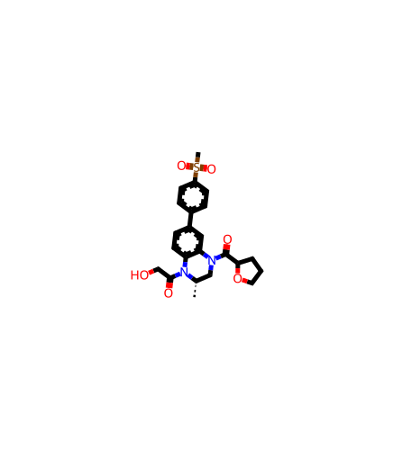 C[C@H]1CN(C(=O)C2CCCO2)c2cc(-c3ccc(S(C)(=O)=O)cc3)ccc2N1C(=O)CO